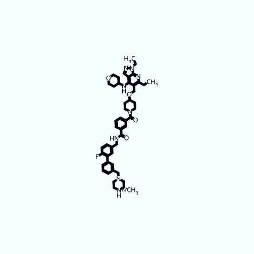 CCc1nc2c(cnn2CC)c(NC2CCOCC2)c1COC1CCN(C(=O)c2cccc(C(=O)NCc3ccc(F)c(-c4cccc(CN5CCN[C@@H](C)C5)c4)c3)c2)CC1